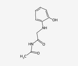 CC(=O)NC(=O)CNc1ccccc1O